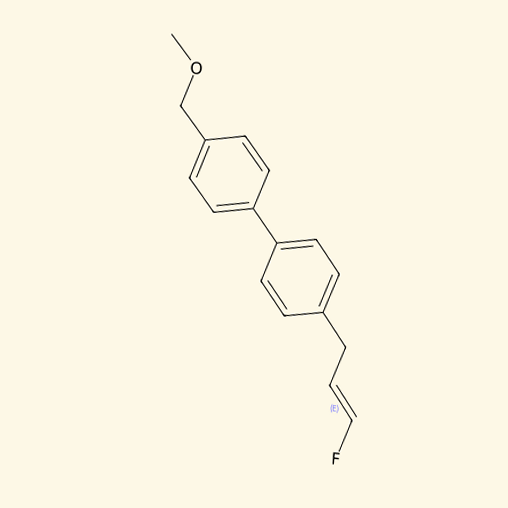 COCc1ccc(-c2ccc(C/C=C/F)cc2)cc1